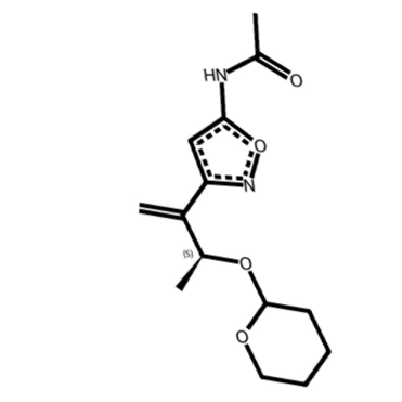 C=C(c1cc(NC(C)=O)on1)[C@H](C)OC1CCCCO1